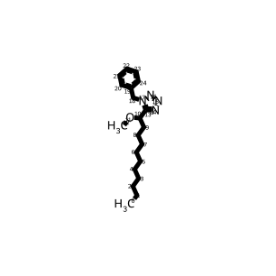 CCCCCCCCCCC(OC)c1nnnn1Cc1ccccc1